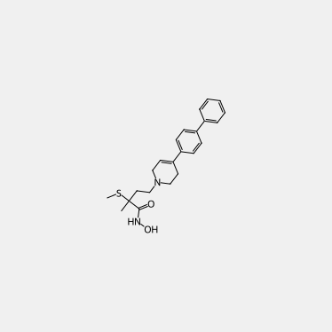 CSC(C)(CCN1CC=C(c2ccc(-c3ccccc3)cc2)CC1)C(=O)NO